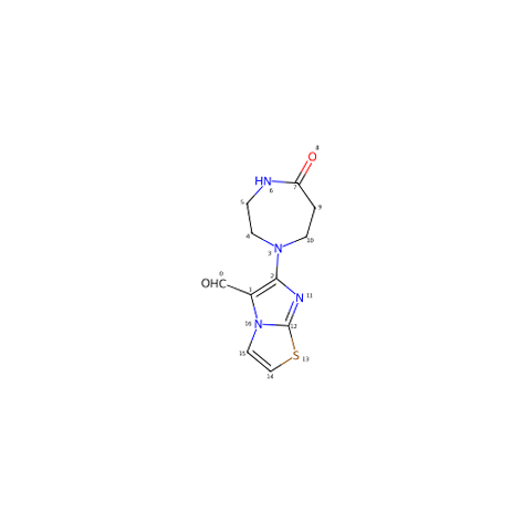 O=Cc1c(N2CCNC(=O)CC2)nc2sccn12